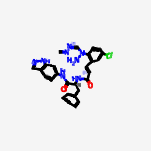 C=N/N=C\N(N)c1ccc(Cl)cc1/C=C/C(=O)N[C@@H](Cc1ccccc1)C(=O)Nc1ccc2cn[nH]c2c1